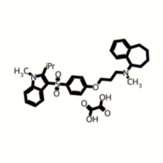 CC(C)c1c(S(=O)(=O)c2ccc(OCCCN(C)C3CCCCc4ccccc43)cc2)c2ccccc2n1C.O=C(O)C(=O)O